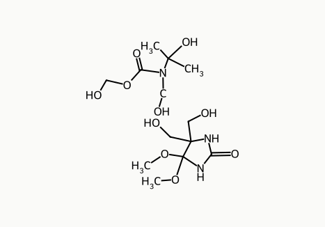 CC(C)(O)N(CO)C(=O)OCO.COC1(OC)NC(=O)NC1(CO)CO